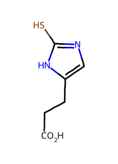 O=C(O)CCc1cnc(S)[nH]1